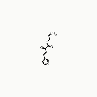 C=CCOC(=O)C(=O)C=Cc1ccsc1